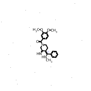 CN/C(=C1/CCN(C(=O)c2ccc(OC)c(OC)c2)CC1=N)c1ccccc1